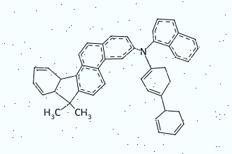 CC1(C)c2ccc3c(ccc4ccc(N(C5=CC=C(C6C=CC=CC6)CC5)c5cccc6ccccc56)cc43)c2C2C=CC=CC21